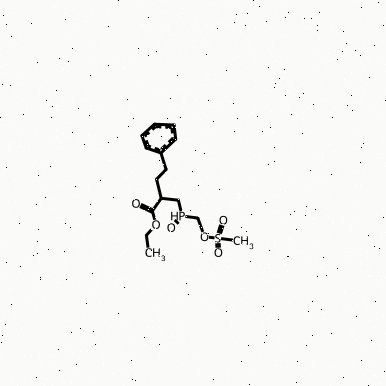 CCOC(=O)C(CCc1ccccc1)C[PH](=O)COS(C)(=O)=O